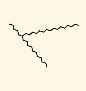 [CH2]CCCCC(CCCCCCCCCCC)CCCCCCCCCCCCCCCC